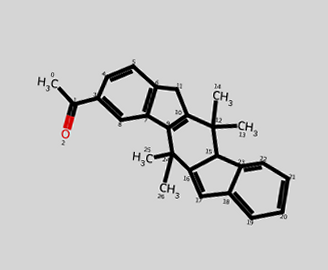 CC(=O)c1ccc2c(c1)C1=C(C2)C(C)(C)C2C(=Cc3ccccc32)C1(C)C